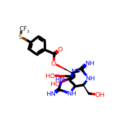 N=C1NC2[C@H](CO)NC(=N)N3C[C@H](OC(=O)c4ccc(SC(F)(F)F)cc4)C(O)(O)[C@]23N1